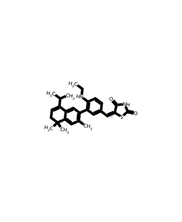 CCNc1ccc(/C=C2/SC(=O)NC2=O)cc1-c1cc2c(cc1C)C(C)(C)CC=C2C(C)C